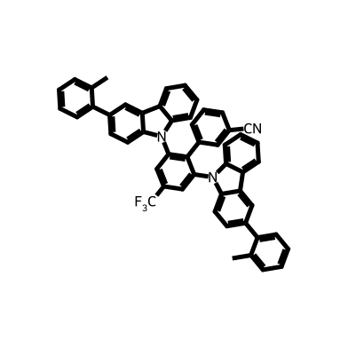 Cc1ccccc1-c1ccc2c(c1)c1ccccc1n2-c1cc(C(F)(F)F)cc(-n2c3ccccc3c3cc(-c4ccccc4C)ccc32)c1-c1cccc(C#N)c1